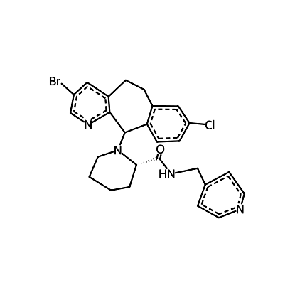 O=C(NCc1ccncc1)[C@@H]1CCCCN1C1c2ccc(Cl)cc2CCc2cc(Br)cnc21